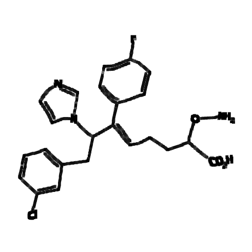 NOC(CC/C=C(\c1ccc(F)cc1)C(Cc1cccc(Cl)c1)n1ccnc1)C(=O)O